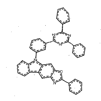 c1ccc(-c2nc(-c3ccccc3)nc(-c3cccc(-n4c5ccccc5c5cc6nc(-c7ccccc7)oc6cc54)c3)n2)cc1